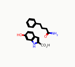 NC(=O)CCCc1ccccc1.O=C(O)c1cc2ccc(O)cc2[nH]1